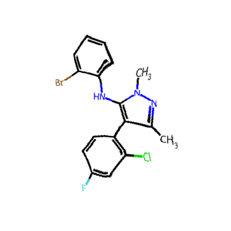 Cc1nn(C)c(Nc2ccccc2Br)c1-c1ccc(F)cc1Cl